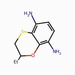 CCC1CSc2c(N)ccc(N)c2O1